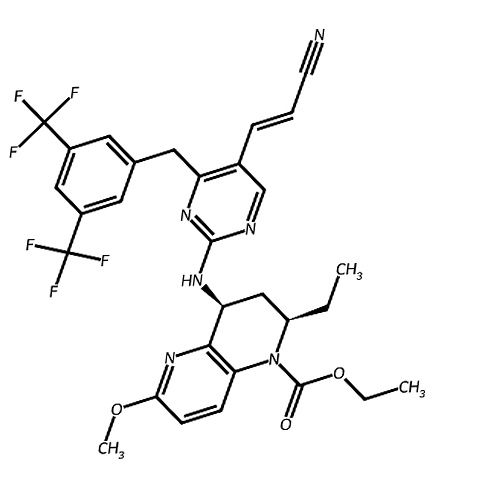 CCOC(=O)N1c2ccc(OC)nc2[C@@H](Nc2ncc(C=CC#N)c(Cc3cc(C(F)(F)F)cc(C(F)(F)F)c3)n2)C[C@H]1CC